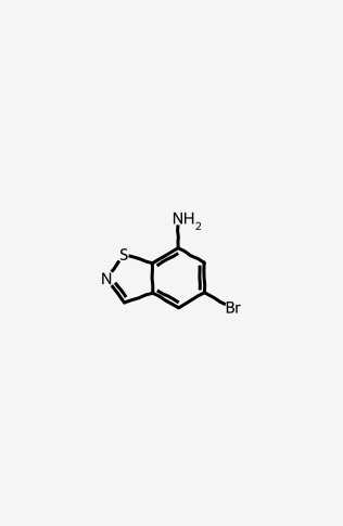 Nc1cc(Br)cc2cnsc12